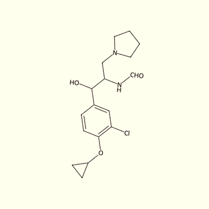 O=CNC(CN1CCCC1)C(O)c1ccc(OC2CC2)c(Cl)c1